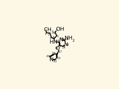 CCCCC(CCO)Nc1nc(N)ncc1OCc1ccncc1